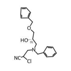 N#CC(Cl)CN(Cc1ccccc1)C[C@H](O)COCc1ccccc1